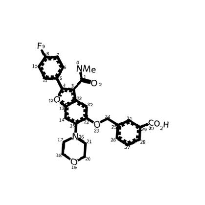 CNC(=O)c1c(-c2ccc(F)cc2)oc2cc(N3CCOCC3)c(OCc3cccc(C(=O)O)c3)cc12